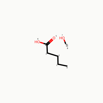 CCCCC(=O)O.[OH][Ti]